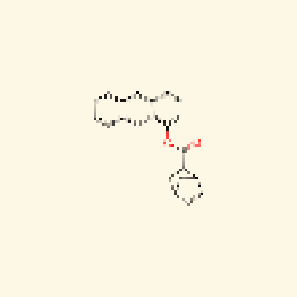 O=C(Oc1cccc2cc3ccccc3cc12)C1CC2C=CC1C2